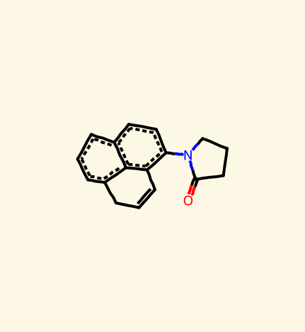 O=C1CCCN1c1ccc2cccc3c2c1C=CC3